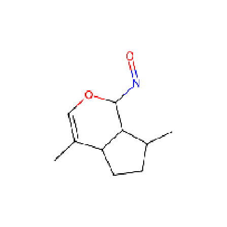 CC1=COC(N=O)C2C(C)CCC12